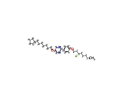 CCCCC[C@H](F)CCOc1ccc(-c2ncc(OCCCCCCCC3CCCC3)cn2)cc1